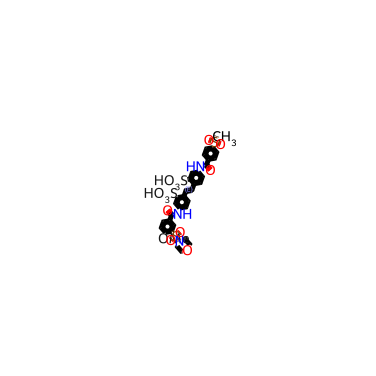 COc1ccc(C(=O)Nc2ccc(/C=C/c3ccc(NC(=O)c4ccc(S(C)(=O)=O)cc4)cc3S(=O)(=O)O)c(S(=O)(=O)O)c2)cc1S(=O)(=O)N1CCOCC1